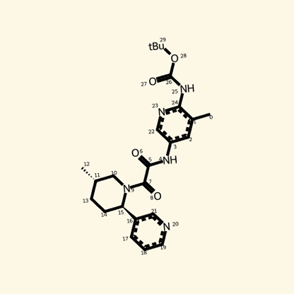 Cc1cc(NC(=O)C(=O)N2C[C@@H](C)CC[C@@H]2c2cccnc2)cnc1NC(=O)OC(C)(C)C